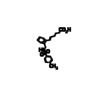 Cc1ccc(S(=O)(=O)NCC2C3C=CC(C3)C2C=CCCCC(=O)O)cc1